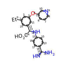 CCc1cc(Oc2cccnc2)cc(C(Nc2ccc(C(=N)N)cc2)C(=O)O)c1